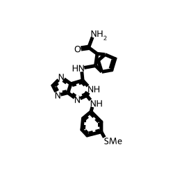 CSc1cccc(Nc2nc3ncnc-3c(NC3C4C=CC(C4)C3C(N)=O)[nH]2)c1